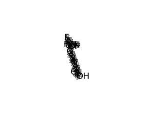 CC([C@H](C)O)n1ncn(-c2ccc(N3CCN(c4ccc(OC[C@@H]5CO[C@@](Cn6cncn6)(c6ccc(F)cc6F)O5)cc4)CC3)cc2)c1=O